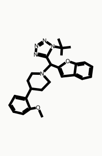 COc1ccccc1C1CCN(C(c2cc3ccccc3o2)c2nnnn2C(C)(C)C)CC1